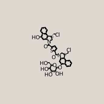 O=C(c1ccc(C(=O)N2C[C@@H](CCl)c3c2cc(O[C@@H]2O[C@H](CO)[C@H](O)[C@H](O)[C@H]2O)c2ccccc32)s1)N1C[C@@H](CCl)c2c1cc(O)c1ccccc21